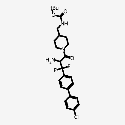 CC(C)(C)OC(=O)NCC1CCN(C(=O)C(N)C(F)(F)c2ccc(-c3ccc(Cl)cc3)cc2)CC1